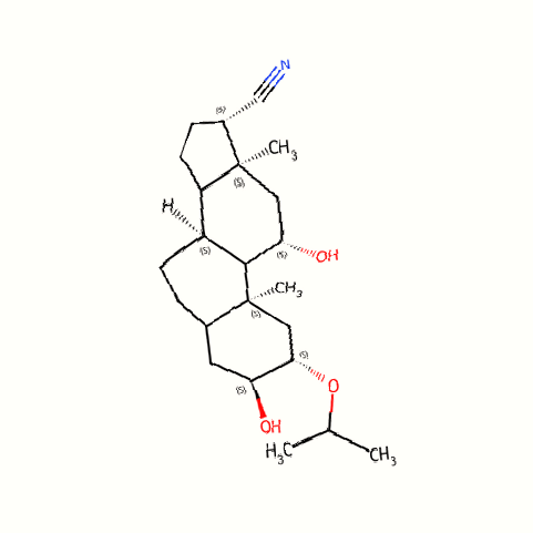 CC(C)O[C@H]1C[C@@]2(C)C(CC[C@@H]3C2[C@@H](O)C[C@@]2(C)C3CC[C@@H]2C#N)C[C@@H]1O